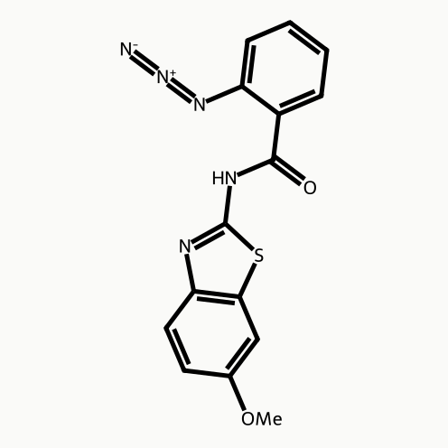 COc1ccc2nc(NC(=O)c3ccccc3N=[N+]=[N-])sc2c1